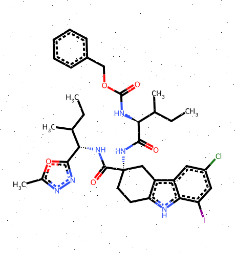 CCC(C)[C@H](NC(=O)OCc1ccccc1)C(=O)N[C@@]1(C(=O)N[C@H](c2nnc(C)o2)C(C)CC)CCc2[nH]c3c(I)cc(Cl)cc3c2C1